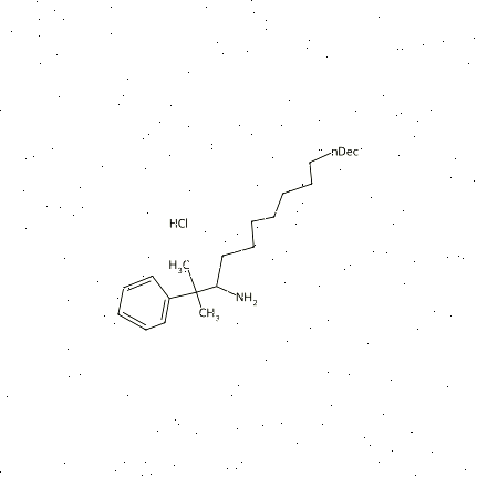 CCCCCCCCCCCCCCCCCC(N)C(C)(C)c1ccccc1.Cl